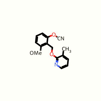 COc1cccc(OC#N)c1COc1ncccc1C